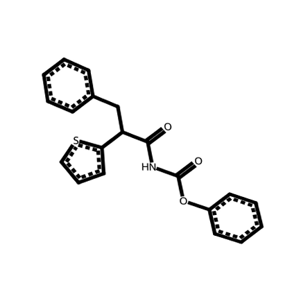 O=C(NC(=O)C(Cc1ccccc1)c1cccs1)Oc1ccccc1